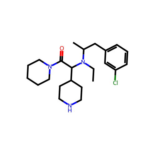 CCN(C(C)Cc1cccc(Cl)c1)C(C(=O)N1CCCCC1)C1CCNCC1